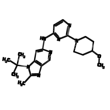 COC1CCN(c2nccc(Nc3cc4c(cn3)nc(C)n4C(C)(C)C)n2)CC1